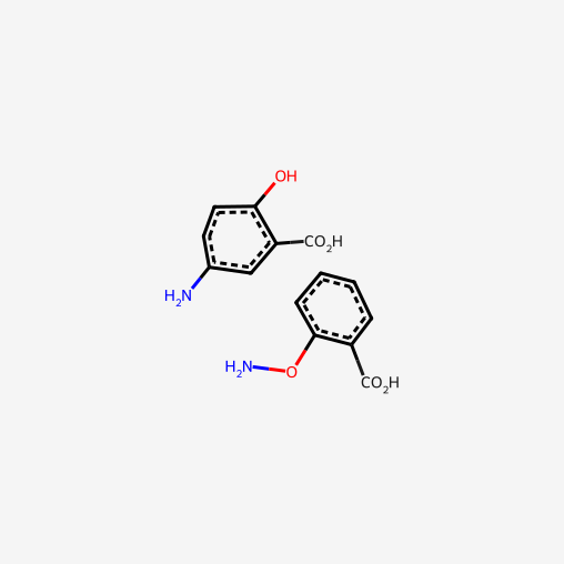 NOc1ccccc1C(=O)O.Nc1ccc(O)c(C(=O)O)c1